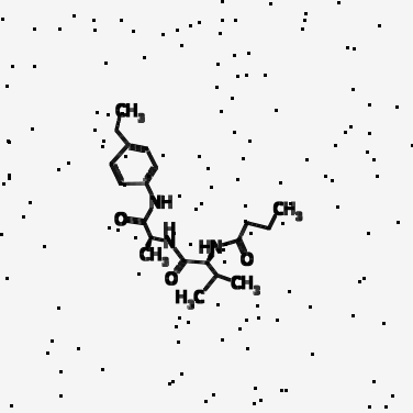 CCCC(=O)N[C@H](C(=O)N[C@@H](C)C(=O)Nc1ccc(CC)cc1)C(C)C